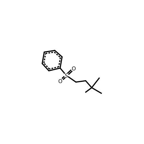 CC(C)(C)CCS(=O)(=O)c1ccccc1